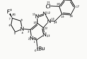 CC(C)(C)c1nc(N2CC[C@@H](F)C2)c2nnn(Cc3ccccc3Cl)c2n1